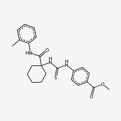 COC(=O)c1ccc(NC(=S)NC2(C(=O)Nc3ccccc3C)CCCCC2)cc1